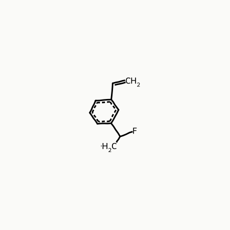 [CH2]C(F)c1cccc(C=C)c1